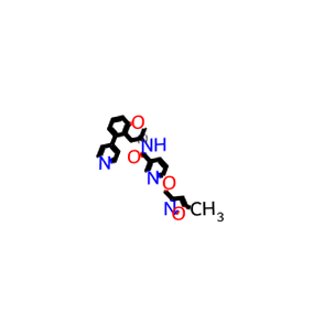 Cc1cc(COc2ccc(C(=O)N[C@@H]3COc4cccc(-c5ccncc5)c4C3)cn2)no1